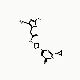 Cc1nc(C)c(CC(=O)N[C@H]2C[C@@H](c3cc(=O)[nH]c(C4CC4)n3)C2)s1